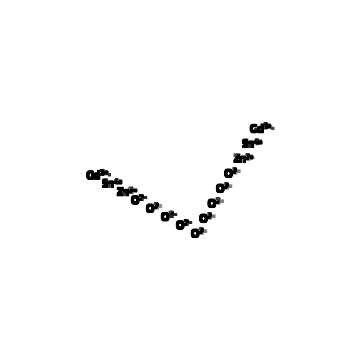 [Gd+3].[Gd+3].[O-2].[O-2].[O-2].[O-2].[O-2].[O-2].[O-2].[O-2].[O-2].[Sn+4].[Sn+4].[Zn+2].[Zn+2]